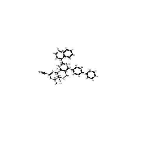 C[C@H]1CC(C#N)=C[C@@]2(C)c3nc(-c4ccnc5ccccc45)nc(-c4ccc(-c5ccccc5)cc4)c3CC[C@H]12